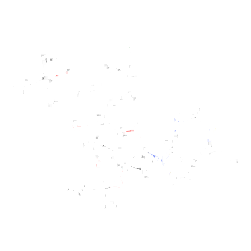 CC1(C)O[C@H]2[C@H](n3ccc4c(Cl)ncnc43)O[C@H]([C@H](O)c3ccc(Cl)cc3CO[Si](C)(C)C(C)(C)C)[C@@]2(C)O1